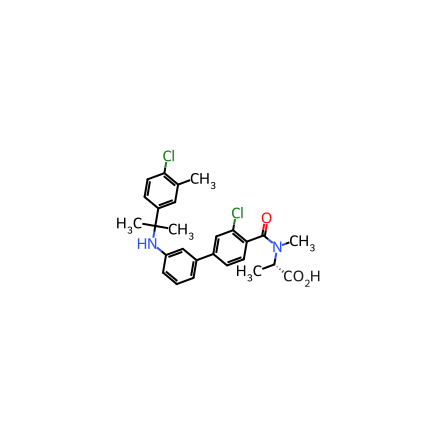 Cc1cc(C(C)(C)Nc2cccc(-c3ccc(C(=O)N(C)[C@@H](C)C(=O)O)c(Cl)c3)c2)ccc1Cl